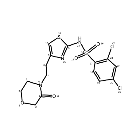 O=C1COCCN1CCc1csc(NS(=O)(=O)c2ccc(Cl)cc2Cl)n1